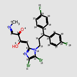 C/N=C\C(=O)/C(O)=C/c1nc(Br)c(Br)n1CCC(c1ccc(F)cc1)c1ccc(F)cc1